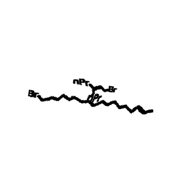 CC=CCCCCCCCCCCCCCCCBr.CCCC(=CCBr)CCC